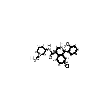 Cc1ccccc1-c1ncc(C(=O)NC2CCCN(C)C2)c2ccc(Cl)cc12